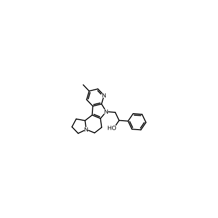 Cc1cnc2c(c1)c1c(n2CC(O)c2ccccc2)CCN2CCCC12